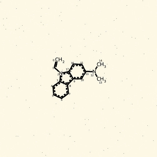 C=Cn1c2ccccc2c2cc(N(C)C)ccc21